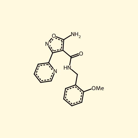 COc1ccccc1CNC(=O)c1c(-c2ccccn2)noc1N